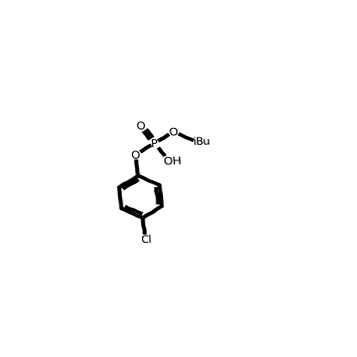 CCC(C)OP(=O)(O)Oc1ccc(Cl)cc1